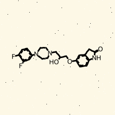 O=C1Cc2cc(OCC(O)CN3CCN(c4ccc(F)c(F)c4)CC3)ccc2N1